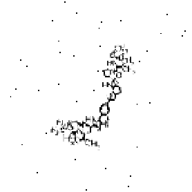 COC(=O)N[C@H](C(=O)N1CCC[C@H]1c1nc2ccc3cc(-c4ccc5c(cnc6nc(C(CCCN)C[C@@H](NC(=O)OC)C(C)C)[nH]c65)c4)oc3c2[nH]1)C(C)C